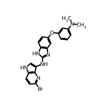 CN(C)c1cccc(Oc2ccc3[nH]c(Nc4c[nH]c5ccc(Br)nc45)nc3c2)c1